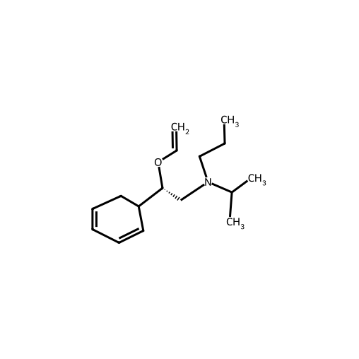 C=CO[C@H](CN(CCC)C(C)C)C1C=CC=CC1